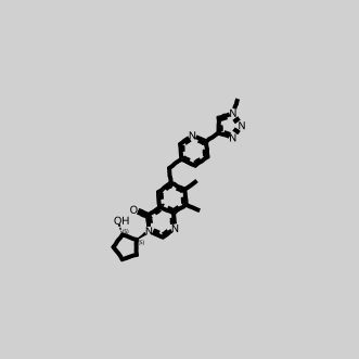 Cc1c(Cc2ccc(-c3cn(C)nn3)nc2)cc2c(=O)n([C@H]3CCC[C@@H]3O)cnc2c1C